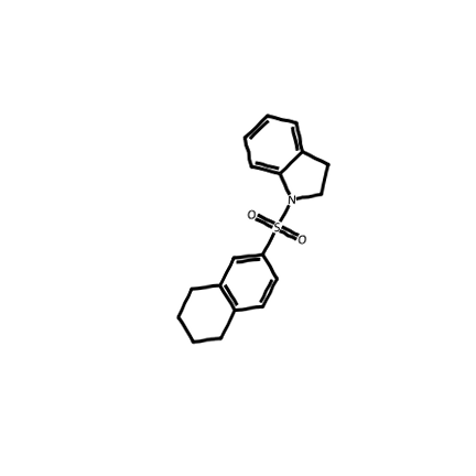 O=S(=O)(c1ccc2c(c1)CCCC2)N1CCc2ccccc21